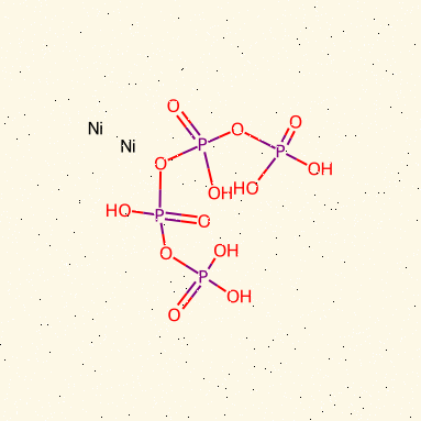 O=P(O)(O)OP(=O)(O)OP(=O)(O)OP(=O)(O)O.[Ni].[Ni]